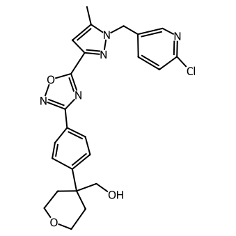 Cc1cc(-c2nc(-c3ccc(C4(CO)CCOCC4)cc3)no2)nn1Cc1ccc(Cl)nc1